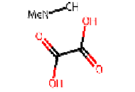 CNC.O=C(O)C(=O)O